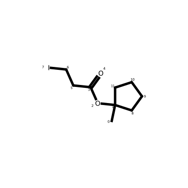 CC1(OC(=O)CCI)CCCC1